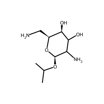 CC(C)O[C@H]1O[C@@H](CN)[C@@H](O)C(O)C1N